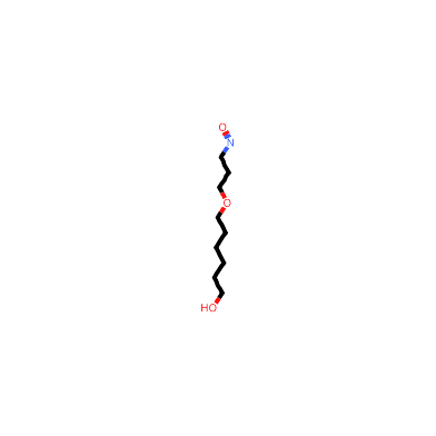 O=NCCCOCCCCCCO